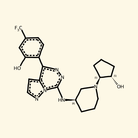 Oc1cc(C(F)(F)F)ccc1-c1nnc(N[C@@H]2CCCN([C@H]3CCC[C@@H]3O)C2)n2nccc12